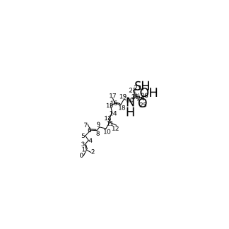 CC(C)=CCCC(C)=CCCC(C)=CCCC(C)=CCN[C@@H](CS)C(=O)O